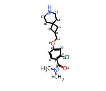 CN(C)C(=O)c1ccc(OCC2CC3(CCNCC3)C2)cc1Cl